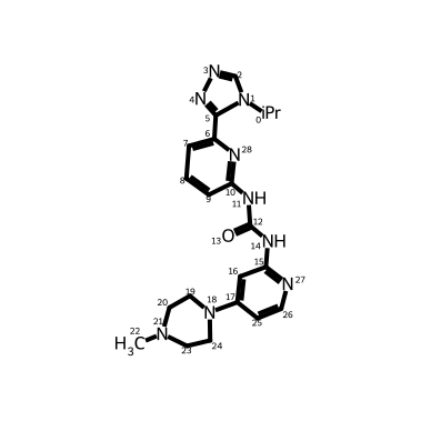 CC(C)n1cnnc1-c1cccc(NC(=O)Nc2cc(N3CCN(C)CC3)ccn2)n1